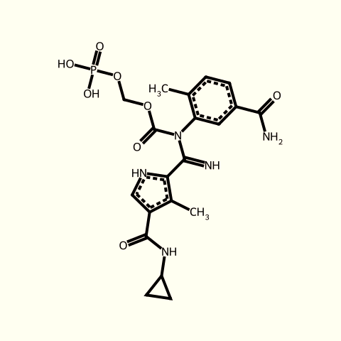 Cc1ccc(C(N)=O)cc1N(C(=N)c1[nH]cc(C(=O)NC2CC2)c1C)C(=O)OCOP(=O)(O)O